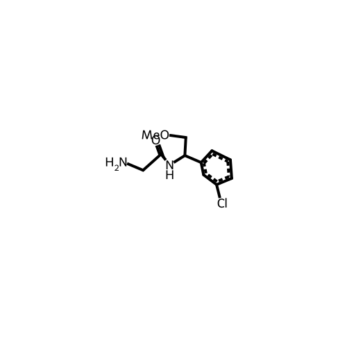 COCC(NC(=O)CN)c1cccc(Cl)c1